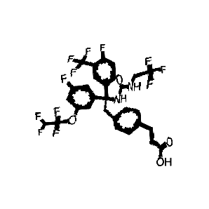 O=C(O)CCc1ccc(C[C@@](NC(=O)NCC(F)(F)F)(c2cc(F)cc(OC(F)(F)C(F)F)c2)c2ccc(F)c(C(F)(F)F)c2)cc1